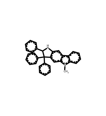 Cn1c2ccccc2c2cc3c(cc21)C(c1ccccc1)(c1ccccc1)C(c1ccccc1)N3